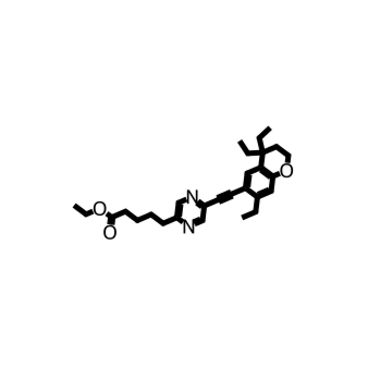 CCOC(=O)CCCCc1cnc(C#Cc2cc3c(cc2CC)OCCC3(CC)CC)cn1